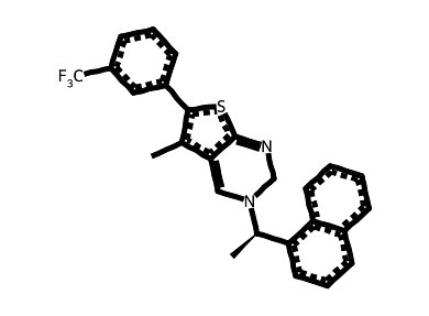 Cc1c(-c2cccc(C(F)(F)F)c2)sc2c1=CN([C@H](C)c1cccc3ccccc13)CN=2